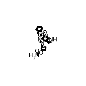 Cc1ccccc1S(=O)(=O)c1nc2[nH]ccc2c2c1ncn2N1CC[C@@H](OC(N)=O)C1